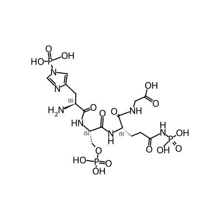 N[C@@H](Cc1cn(P(=O)(O)O)cn1)C(=O)N[C@@H](COP(=O)(O)O)C(=O)N[C@@H](CCC(=O)NP(=O)(O)O)C(=O)NCC(=O)O